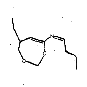 CCC/C=N\C1=CC(CC)COCO1